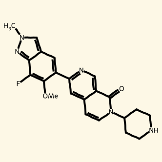 COc1c(-c2cc3ccn(C4CCNCC4)c(=O)c3cn2)cc2cn(C)nc2c1F